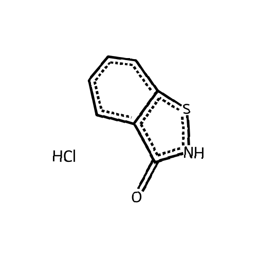 Cl.O=c1[nH]sc2ccccc12